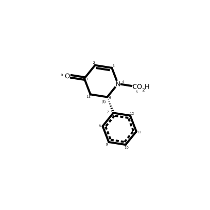 O=C1C=CN(C(=O)O)[C@H](c2ccccc2)C1